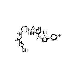 CCc1nc2n(c1N(C)c1nc(-c3ccc(F)cc3)cs1)NC(N1CCCC(N(C)CC(=O)N3CC(O)C3)C1)S2